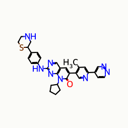 Cc1cc(-c2ccnnc2)ncc1-c1cc2cnc(Nc3ccc(C4CNCCS4)cc3)nc2n(C2CCCC2)c1=O